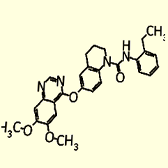 CCc1ccccc1NC(=O)N1CCCc2cc(Oc3ncnc4cc(OC)c(OC)cc34)ccc21